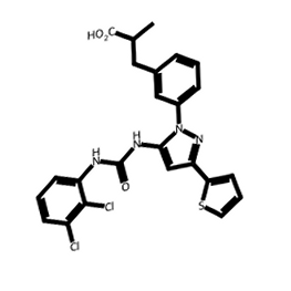 CC(Cc1cccc(-n2nc(-c3cccs3)cc2NC(=O)Nc2cccc(Cl)c2Cl)c1)C(=O)O